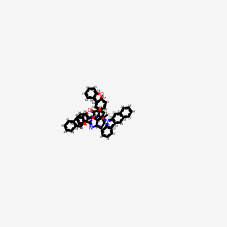 CC1C/C=C(c2c(-n3c4ccccc4c4cc5ccccc5cc43)ccc3oc4ccccc4c23)/N=C(c2ccc3ccccc3c2)\N=C/1c1ccc2oc3ccccc3c2c1